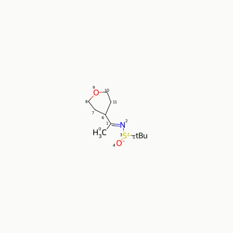 CC(=N[S+]([O-])C(C)(C)C)C1CCOCC1